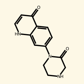 O=C1CNCCN1c1ccc2c(=O)cc[nH]c2c1